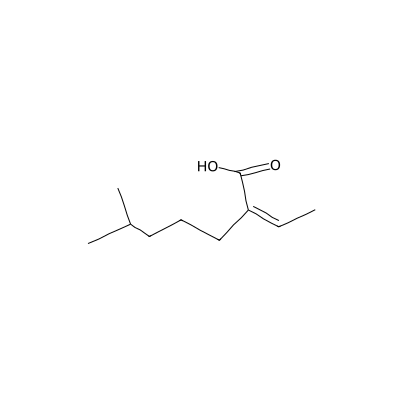 CC=C(CCCC(C)C)C(=O)O